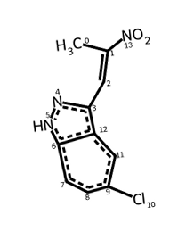 CC(=Cc1n[nH]c2ccc(Cl)cc12)[N+](=O)[O-]